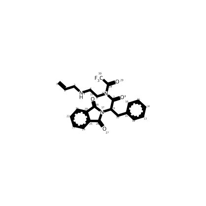 C=CCNCCN(C(=O)C(Cc1ccccc1)N1C(=O)c2ccccc2C1=O)C(=O)C(F)(F)F